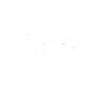 C=CC(=O)N1CC(Cc2cc3cc(C4CC4)cc(F)c3c(=O)n2-c2cccc(-c3cc(CN)n(C)c3)c2CO)C1